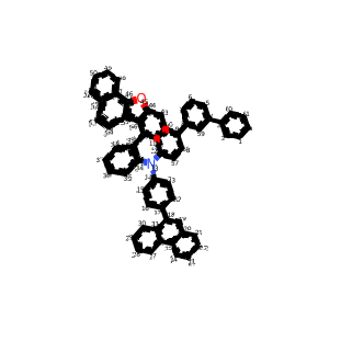 c1ccc(-c2cccc(-c3ccc(N(c4ccc(-c5cc6ccccc6c6ccccc56)cc4)c4ccccc4-c4cccc5oc6c7ccccc7ccc6c45)cc3)c2)cc1